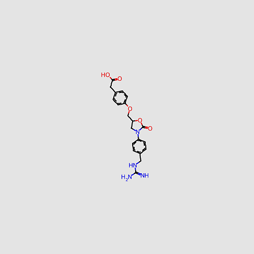 N=C(N)NCc1ccc(N2CC(COc3ccc(CC(=O)O)cc3)OC2=O)cc1